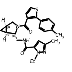 CCn1nc(C)cc1C(=O)NC[C@@H]1[C@H]2C[C@H]2CN1C(=O)c1ccsc1-c1ccc(C)cc1